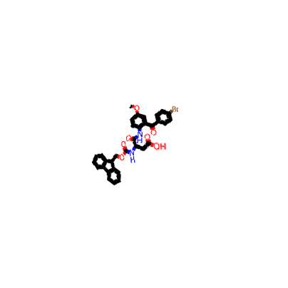 COc1ccc(NC(=O)C(CC(=O)O)NC(=O)OCC2c3ccccc3-c3ccccc32)c(C(=O)c2ccc(Br)cc2)c1